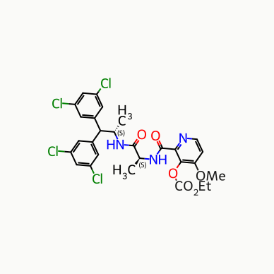 CCOC(=O)Oc1c(OC)ccnc1C(=O)N[C@@H](C)C(=O)N[C@@H](C)C(c1cc(Cl)cc(Cl)c1)c1cc(Cl)cc(Cl)c1